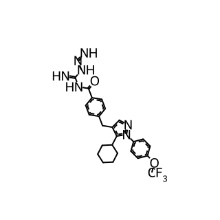 N=NNC(=N)NC(=O)c1ccc(Cc2cnn(-c3ccc(OC(F)(F)F)cc3)c2C2CCCCC2)cc1